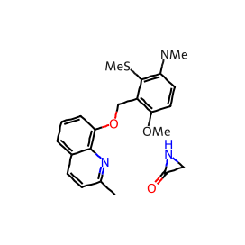 CNc1ccc(OC)c(COc2cccc3ccc(C)nc23)c1SC.O=C1CN1